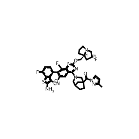 Cc1ccn(C(=O)C23CCC(CN(c4nc(OC[C@@]56CCCN5C[C@H](F)C6)nc5c(F)c(-c6ccc(F)c7sc(N)c(C#N)c67)c(Cl)cc45)C2)C3)n1